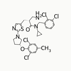 Cc1cc(Cl)c(O[C@@H]2CCN(c3ncc(C[C@H](CN)C(=O)N(Cc4cccc(Cl)c4Cl)C4CC4)s3)C2)c(Cl)c1